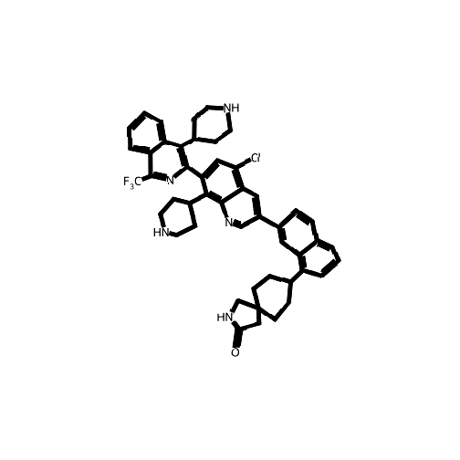 O=C1CC2(CCC(c3cccc4ccc(-c5cnc6c(C7CCNCC7)c(-c7nc(C(F)(F)F)c8ccccc8c7C7CCNCC7)cc(Cl)c6c5)cc34)CC2)CN1